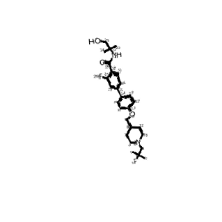 CC(C)(F)CN1CCC(COc2ccc(-c3ccc(C(=O)NC(C)(C)CO)c(F)c3)cc2)CC1